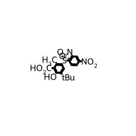 Cc1c([S+]([O-])c2ccc([N+](=O)[O-])cc2[N+](=O)[O-])cc(C(C)(C)C)c(O)c1C(=O)O